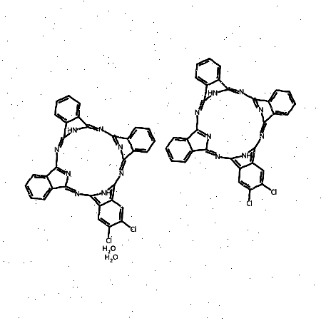 Clc1cc2c3nc4nc(nc5[nH]c(nc6nc(nc([nH]3)c2cc1Cl)-c1ccccc1-6)c1ccccc51)-c1ccccc1-4.Clc1cc2c3nc4nc(nc5[nH]c(nc6nc(nc([nH]3)c2cc1Cl)-c1ccccc1-6)c1ccccc51)-c1ccccc1-4.O.O